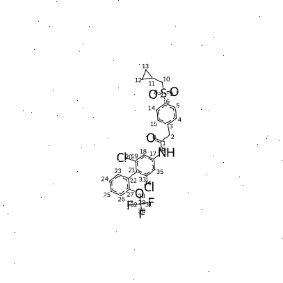 O=C(Cc1ccc(S(=O)(=O)CC2CC2)cc1)Nc1cc(Cl)c(-c2ccccc2OC(F)(F)F)c(Cl)c1